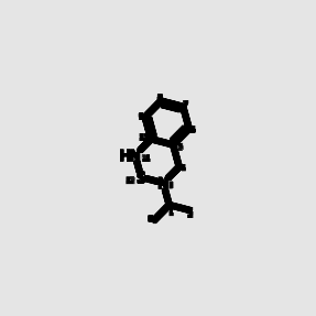 CC(C)N1Cc2ccccc2NS1